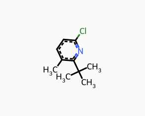 Cc1ccc(Cl)nc1C(C)(C)C